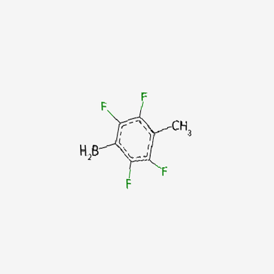 Bc1c(F)c(F)c(C)c(F)c1F